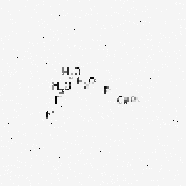 O.O.O.[Ce+3].[F-].[F-].[F-]